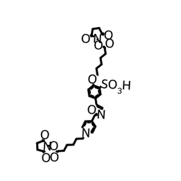 O=C(CCCCCOc1ccc(-c2cnc(-c3cc[n+](CCCCCC(=O)ON4C(=O)CCC4=O)cc3)o2)cc1S(=O)(=O)O)ON1C(=O)CCC1=O